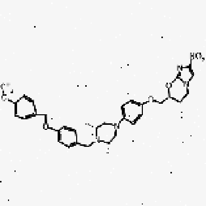 C[C@@H]1CN(c2ccc(OC[C@@H]3CCn4cc([N+](=O)[O-])nc4O3)cc2)C[C@H](C)N1Cc1ccc(OCc2ccc(OC(F)(F)F)cc2)cc1